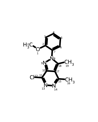 COc1ccccc1-n1nc2c(Cl)nnc(C)c2c1C